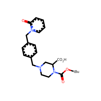 CC(C)(C)OC(=O)N1CCN(Cc2ccc(Cn3ccccc3=O)cc2)CC1C(=O)O